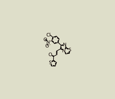 O=C(C=Cc1c(-c2ccc(Cl)c([N+](=O)[O-])c2)nc2sccn12)c1cccs1